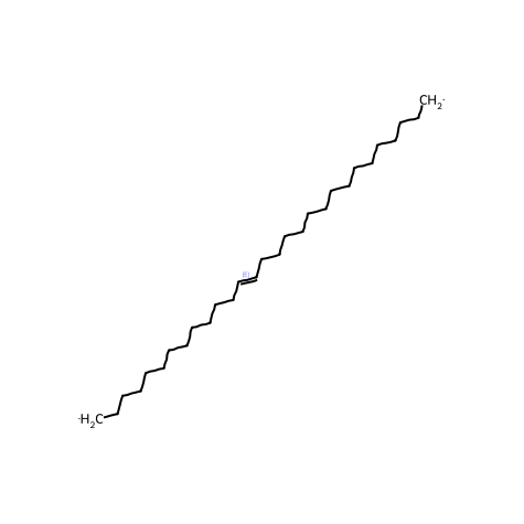 [CH2]CCCCCCCCCCC/C=C/CCCCCCCCCCCCCC[CH2]